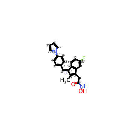 CC1=C(CC(=O)NO)c2cc(F)ccc2/C1=C\c1ccc(-n2cccc2)cc1